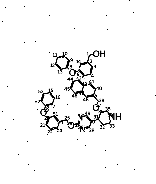 OCc1cccc(Oc2ccccc2)c1.c1ccc(Oc2cccc(COc3ncc(C4CCNCC4OCc4ccc5ccccc5c4)cn3)c2)cc1